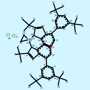 CC(C)(C)C1=Cc2c(-c3cc(C(C)(C)C)cc(C(C)(C)C)c3)cccc2[CH]1[Hf+2]1([CH]2C(C(C)(C)C)=Cc3c(-c4cc(C(C)(C)C)cc(C(C)(C)C)c4)cccc32)[CH2][CH2]1.[Cl-].[Cl-]